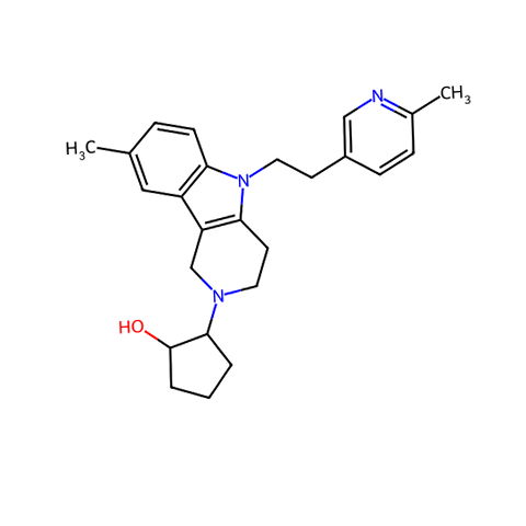 Cc1ccc2c(c1)c1c(n2CCc2ccc(C)nc2)CCN(C2CCCC2O)C1